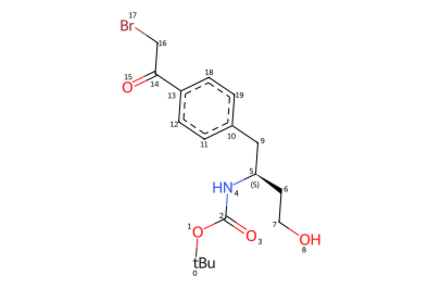 CC(C)(C)OC(=O)N[C@H](CCO)Cc1ccc(C(=O)CBr)cc1